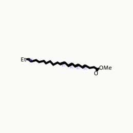 CC/C=C/CCCCCCC/C=C/C=C/C=C/C=C/CCC(=O)OC